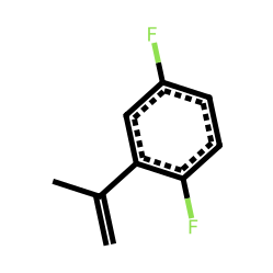 C=C(C)c1cc(F)ccc1F